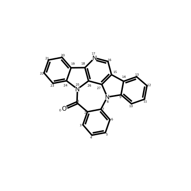 O=c1c2ccccc2n2c3ccccc3c3cnc4c5ccccc5n1c4c32